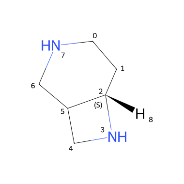 C1C[C@@H]2NCC2CN1